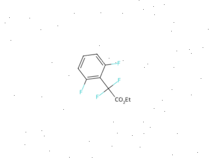 CCOC(=O)C(F)(F)c1c(F)cccc1F